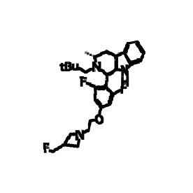 C[C@@H]1Cc2c([nH]c3ccccc23)[C@@H](c2c(F)cc(OCCN3CC(CF)C3)cc2F)N1CC(C)(C)C